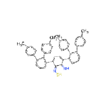 Cc1ccc(-c2cccc(C3=CC=C(c4cccc(-c5ccc(C)cc5)c4-c4ccc(C)cc4)/C(=N/S)C3=N)c2-c2ccc(C)cc2)cc1